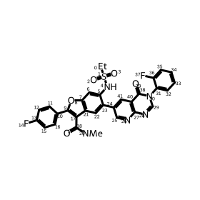 CCS(=O)(=O)Nc1cc2oc(-c3ccc(F)cc3)c(C(=O)NC)c2cc1-c1cnc2ncn(-c3ccccc3F)c(=O)c2c1